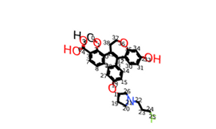 COc1c(C(=O)O)cccc1C1=C(c2ccc(O[C@H]3CCN(CCCF)C3)cc2)c2ccc(O)cc2OCC1